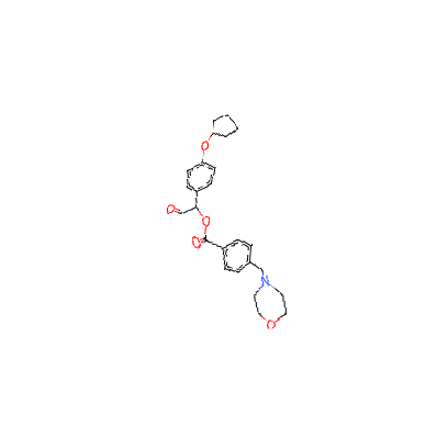 O=CC(OC(=O)c1ccc(CN2CCOCC2)cc1)c1ccc(OC2CCCC2)cc1